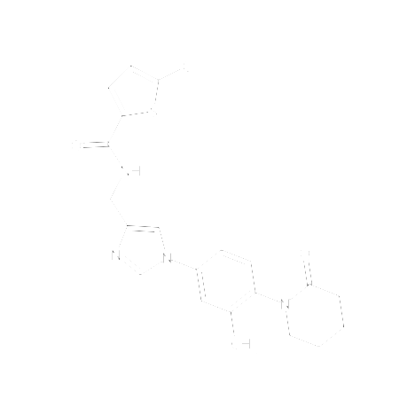 Cc1cc(-n2cnc(CNC(=O)c3ccc(Cl)s3)c2)ccc1N1CCCCC1=O